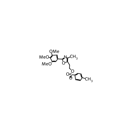 COc1cc(-c2nc(C)c(CCOS(=O)(=O)c3ccc(C)cc3)o2)cc(OC)c1OC